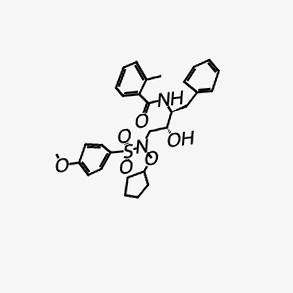 COc1ccc(S(=O)(=O)N(C[C@@H](O)[C@H](Cc2ccccc2)NC(=O)c2ccccc2C)OC2CCCC2)cc1